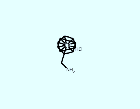 Cl.NC[C]12[CH]3[CH]4[CH]5[CH]1[Fe]45321678[CH]2[CH]1[CH]6[CH]7[CH]28